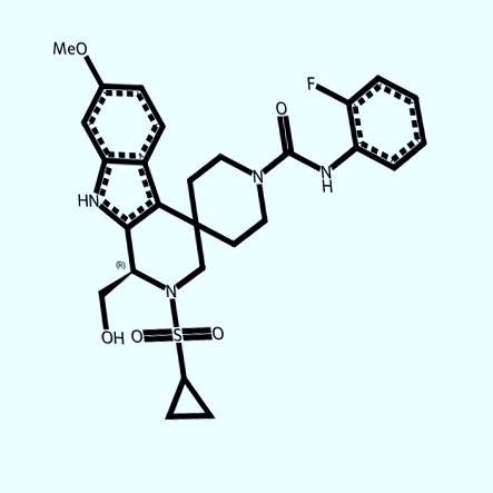 COc1ccc2c3c([nH]c2c1)[C@H](CO)N(S(=O)(=O)C1CC1)CC31CCN(C(=O)Nc2ccccc2F)CC1